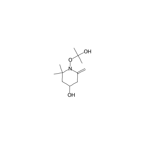 C=C1CC(O)CC(C)(C)N1OC(C)(C)O